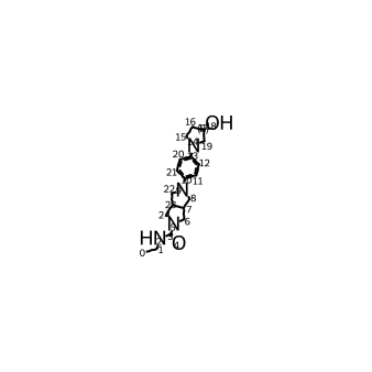 CCNC(=O)N1CC2CN(c3ccc(N4CC[C@@H](O)C4)cc3)CC2C1